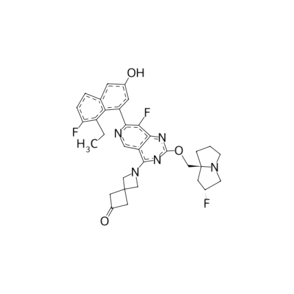 CCc1c(F)ccc2cc(O)cc(-c3ncc4c(N5CC6(CC(=O)C6)C5)nc(OC[C@@]56CCCN5C[C@H](F)C6)nc4c3F)c12